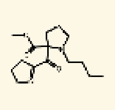 CCCCN1CCCC1(C(=O)OC)C(=O)C1=NCCC1